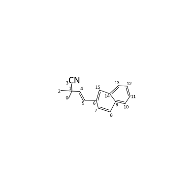 CC(C)(C#N)C=Cc1ccc2ccccc2c1